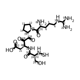 NC(N)NCCC[C@H](N)C(=O)N1CCC[C@H]1C(=O)C(=O)[C@H](CC(=O)O)NC(=O)[C@H](CO)NS